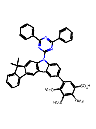 COc1c(-c2ccc3c(c2)c2cc4c(cc2n3-c2nc(-c3ccccc3)nc(-c3ccccc3)n2)C(C)(C)c2ccccc2-4)cc(S(=O)(=O)O)c(OC)c1S(=O)(=O)O